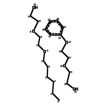 CCCCCCOCCOCCO.OCCOCCOc1ccccc1